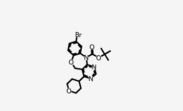 CC(C)(C)OC(=O)N1c2cc(Br)ccc2OCc2c(C3CCOCC3)ncnc21